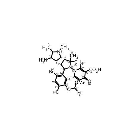 CC1C(N)CCN1C.CCC(OC)Oc1cc(C2CCC(C)(C)N2n2ccc(=O)c(C(=O)O)c2I)c(Br)cc1Cl